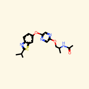 CC(=O)NC(C)COc1cnc(Oc2ccc3nc(C(C)C)sc3c2)cn1